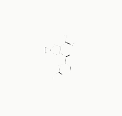 C/N=C(\N)C1CC2(CC2)CN1C(=O)C(NC(=O)OC)C(C)C